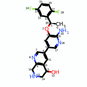 C[C@@H](Oc1cc(-c2cnc3c(c2)C(O)CNC3)cnc1N)c1cc(F)ccc1F